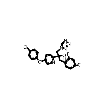 OC(Cc1ccc(Cl)cc1F)(Cn1cnnn1)c1ccc(Oc2ccc(Cl)cc2)cn1